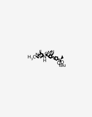 Cc1cn2cc(NC(=O)c3ccc(N4CCC(N(C(=O)OC(C)(C)C)C5CC5)CC4)c4cncnc34)cc(F)c2n1